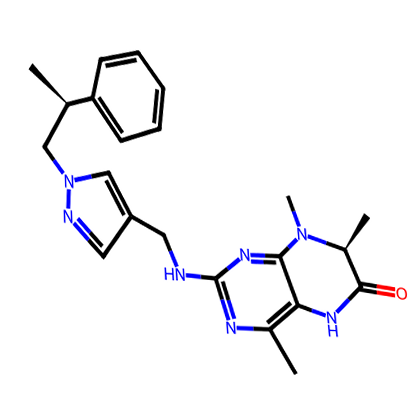 Cc1nc(NCc2cnn(C[C@@H](C)c3ccccc3)c2)nc2c1NC(=O)[C@H](C)N2C